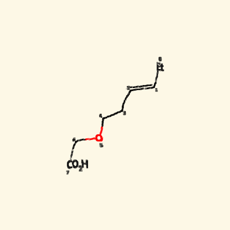 CC/C=C/CCOCC(=O)O